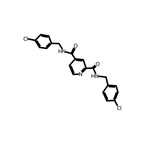 O=C(NCc1ccc(Cl)cc1)c1ccnc(C(=O)NCc2ccc(Cl)cc2)c1